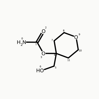 NC(=O)OC1(CO)CCOCC1